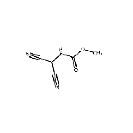 COC(=O)BC(C#N)C#N